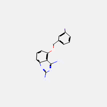 Nc1nc(N)c2c(OCc3cccc(I)c3)cccc2n1